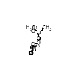 CCCCC[C@H](CCC(=O)OC)c1ccc(OCCc2nc(-c3ccccc3)oc2C)cc1